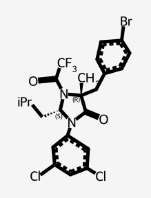 CC(C)C[C@H]1N(c2cc(Cl)cc(Cl)c2)C(=O)[C@@](C)(Cc2ccc(Br)cc2)N1C(=O)C(F)(F)F